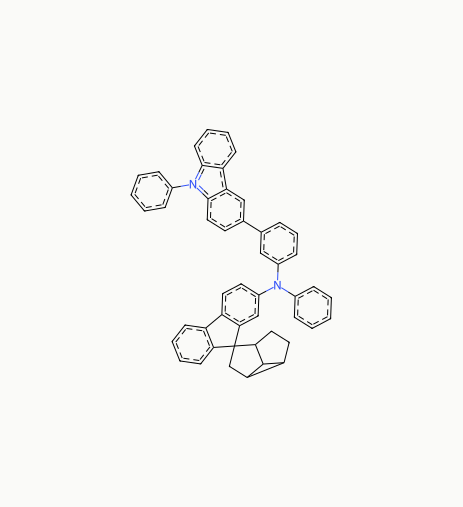 c1ccc(N(c2cccc(-c3ccc4c(c3)c3ccccc3n4-c3ccccc3)c2)c2ccc3c(c2)C2(CC4C5CCC2C54)c2ccccc2-3)cc1